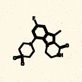 Cc1c2n(c3c(N4CCS(=O)(=O)CC4)cc(F)cc13)CCNC2=O